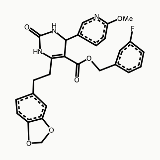 COc1ccc(C2NC(=O)NC(CCc3ccc4c(c3)OCO4)=C2C(=O)OCc2cccc(F)c2)cn1